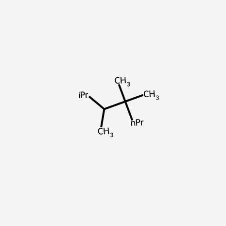 [CH2]C(C)C(C)C(C)(C)CCC